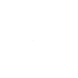 CNC1(c2ccccc2)OCCO1